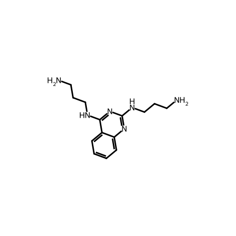 NCCCNc1nc(NCCCN)c2ccccc2n1